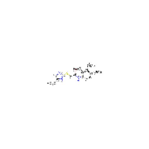 COc1ccc(NC(=O)CSc2nc(C(=O)O)c[nH]2)c(OC)c1OC